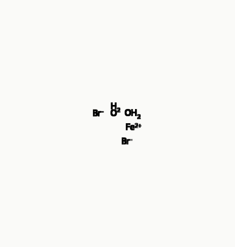 O.O.[Br-].[Br-].[Fe+2]